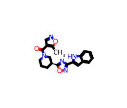 Cc1oncc1C(=O)N1CCC[C@H](c2nc(-c3cc4ccccc4[nH]3)no2)C1